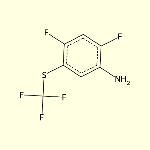 Nc1cc(SC(F)(F)F)c(F)cc1F